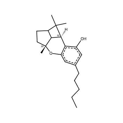 CCCCCc1cc(O)c2c(c1)O[C@]1(C)CCC3C1[C@H]2C3(C)C